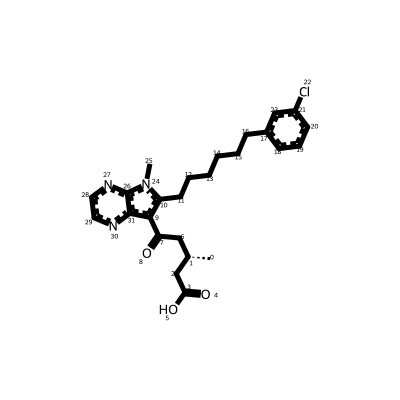 C[C@H](CC(=O)O)CC(=O)c1c(CCCCCCc2cccc(Cl)c2)n(C)c2nccnc12